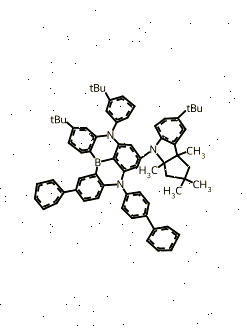 CC1(C)CC2(C)c3cc(C(C)(C)C)ccc3N(c3cc4c5c(c3)N(c3cccc(C(C)(C)C)c3)c3cc(C(C)(C)C)ccc3B5c3cc(-c5ccccc5)ccc3N4c3ccc(-c4ccccc4)cc3)C2(C)C1